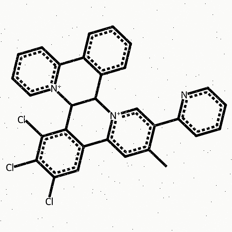 Cc1cc2[n+](cc1-c1ccccn1)C1c3ccccc3-c3cccc[n+]3C1c1c-2cc(Cl)c(Cl)c1Cl